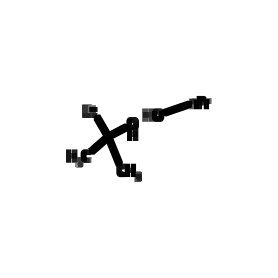 CCC(C)(C)O.CCCO